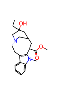 CCC1(O)CC2CC(C(=O)OC)c3c(c4ccccc4n3C)CC[N@@](C2)C1